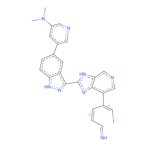 CN(C)c1cncc(-c2ccc3[nH]nc(-c4nc5c(C(/C=C\C=N)=C/I)cncc5[nH]4)c3c2)c1